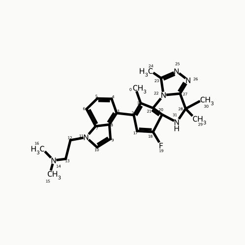 Cc1c(-c2cccc3c2ccn3CCN(C)C)cc(F)c2c1-n1c(C)nnc1C(C)(C)N2